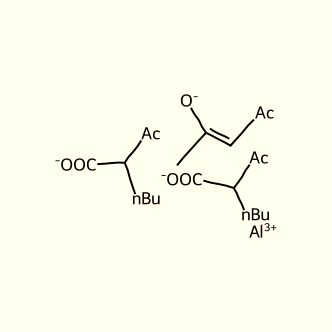 CC(=O)/C=C(/C)[O-].CCCCC(C(C)=O)C(=O)[O-].CCCCC(C(C)=O)C(=O)[O-].[Al+3]